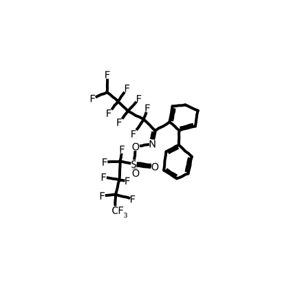 O=S(=O)(ON=C(C1=CCCC=C1c1ccccc1)C(F)(F)C(F)(F)C(F)(F)C(F)F)C(F)(F)C(F)(F)C(F)(F)C(F)(F)F